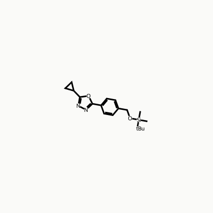 CC(C)(C)[Si](C)(C)OCc1ccc(-c2nnc(C3CC3)o2)cc1